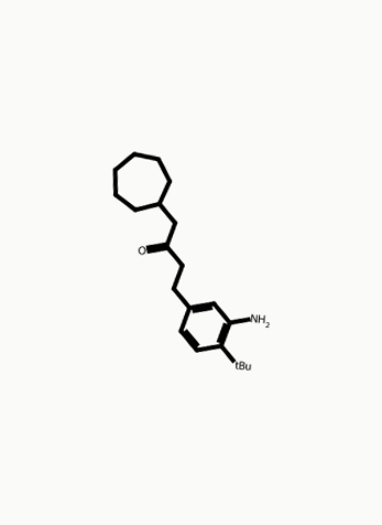 CC(C)(C)c1ccc(CCC(=O)CC2CCCCCC2)cc1N